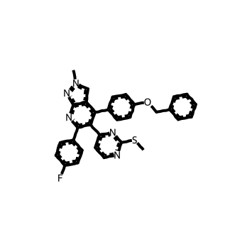 CSc1nccc(-c2c(-c3ccc(F)cc3)nc3nn(C)cc3c2-c2ccc(OCc3ccccc3)cc2)n1